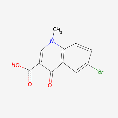 Cn1cc(C(=O)O)c(=O)c2cc(Br)ccc21